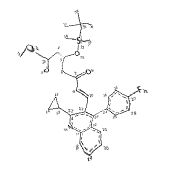 COC(=O)C[C@@H](CC(=O)/C=C/c1c(C2CC2)nc2ccccc2c1-c1ccc(F)cc1)O[Si](C)(C)C(C)(C)C